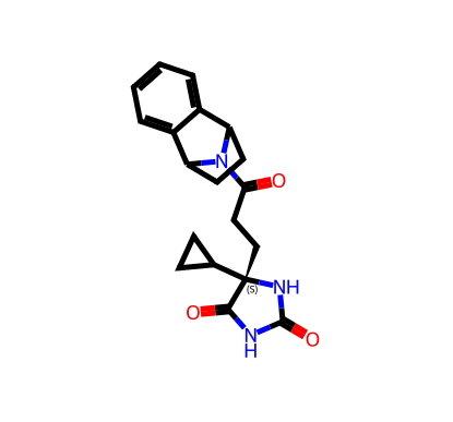 O=C1NC(=O)[C@](CCC(=O)N2C3CCC2c2ccccc23)(C2CC2)N1